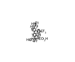 CCNC(=O)Nc1cc(-c2nc(C(F)(F)F)cs2)c(-c2ccc3c(c2)c(=O)c(C(=O)O)cn3[C@@H](CO)C(C)C)cn1